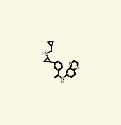 C=C(Nc1ccc2nccnc2c1)c1cccc(C2CC2NCC2CC2)c1